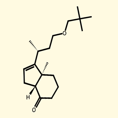 C[C@H](CCOCC(C)(C)C)C1=CC[C@H]2C(=O)CCC[C@]12C